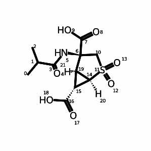 CC(C)C(=O)N[C@@]1(C(=O)O)CS(=O)(=O)[C@H]2[C@H](C(=O)O)[C@H]21